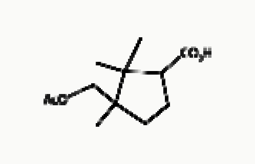 CC(=O)OCC1(C)CCC(C(=O)O)C1(C)C